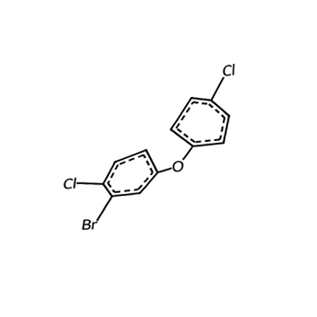 Clc1ccc(Oc2ccc(Cl)c(Br)c2)cc1